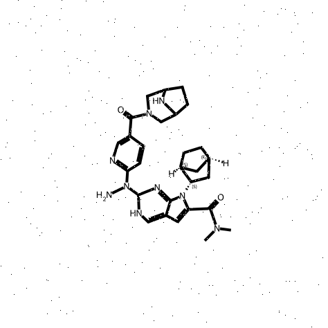 CN(C)C(=O)c1cc2c(n1[C@H]1C[C@@H]3CC[C@H]1C3)=NC(N(N)c1ccc(C(=O)N3CC4CCC(C3)N4)cn1)NC=2